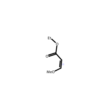 CCOC(=O)/C=C\OC